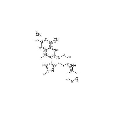 Cc1noc(-c2c(N3CCC(N[C@@H]4CCCOC4)CC3)nc3c(C#N)cc(CC(F)(F)F)cc3c2C)n1